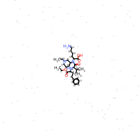 CCOC(=O)C(CCc1ccccc1)NC(C(=O)N(C1CCCN(CC)C1)C(CCCCN)C(=O)O)C(C)C